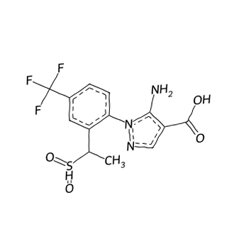 CC(c1cc(C(F)(F)F)ccc1-n1ncc(C(=O)O)c1N)[SH](=O)=O